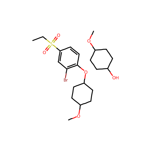 CCS(=O)(=O)c1ccc(OC2CCC(OC)CC2)c(Br)c1.COC1CCC(O)CC1